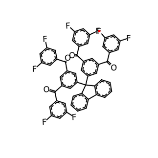 O=C(c1cc(F)cc(F)c1)c1cc(C(=O)c2cc(F)cc(F)c2)cc(C2(c3cc(C(=O)c4cc(F)cc(F)c4)cc(C(=O)c4cc(F)cc(F)c4)c3)c3ccccc3-c3ccccc32)c1